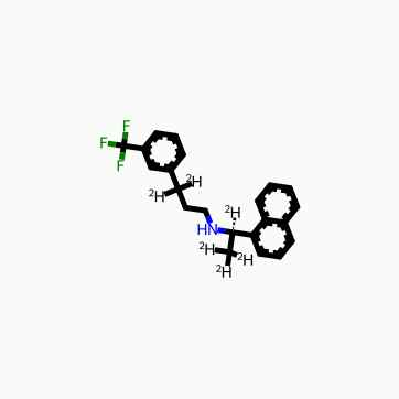 [2H]C([2H])(CCN[C@@]([2H])(c1cccc2ccccc12)C([2H])([2H])[2H])c1cccc(C(F)(F)F)c1